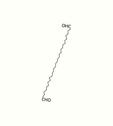 O=CCCCCCCCCCCCCCCCCCCCCCCCCCCCCCCC=O